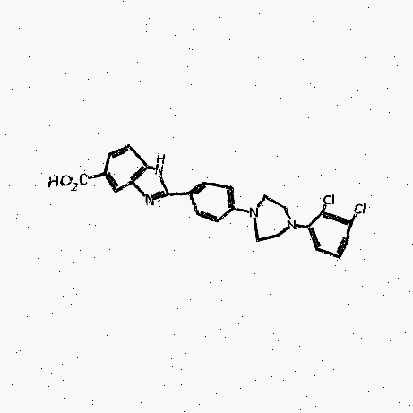 O=C(O)c1ccc2[nH]c(-c3ccc(N4CCN(c5cccc(Cl)c5Cl)CC4)cc3)nc2c1